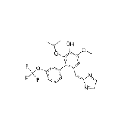 COc1cc(C=C2N=CC=N2)c(-c2cccc(OC(F)(F)F)c2)c(OC(C)C)c1O